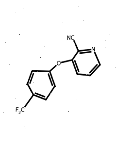 N#Cc1ncccc1Oc1ccc(C(F)(F)F)cc1